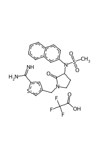 CS(=O)(=O)N(c1ccc2ccccc2c1)C1CCN(Cc2csc(C(=N)N)c2)C1=O.O=C(O)C(F)(F)F